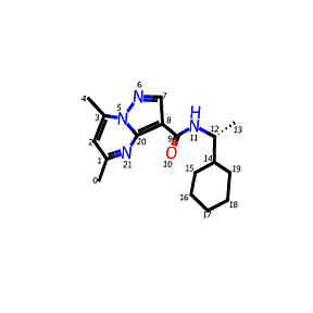 Cc1cc(C)n2ncc(C(=O)N[C@H](C)C3CCCCC3)c2n1